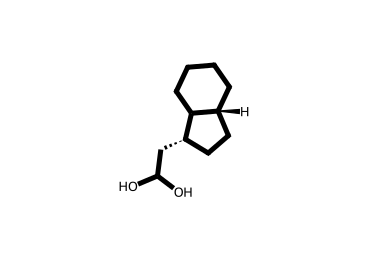 OC(O)C[C@H]1CC[C@H]2CCCCC21